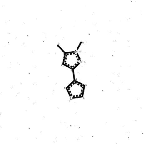 Cc1cc(-c2ccoc2)nn1C